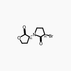 O=C1OCC[C@H]1N1CC[C@@H](Br)C1=O